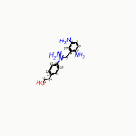 Nc1ccc(N)c(CN(N)c2ccc(CCO)cc2)c1